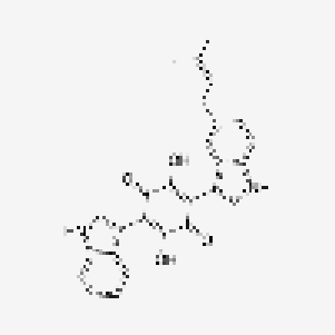 CC(C)=CCc1ccc2[nH]cc(C3=C(O)C(=O)C(c4c[nH]c5ccccc45)=C(O)C3=O)c2c1